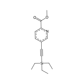 CC[Si](C#Cc1ccc(C(=O)OC)nc1)(CC)CC